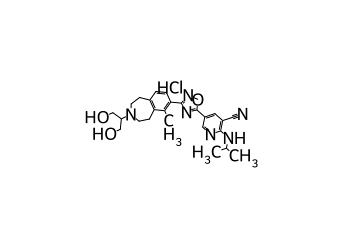 Cc1c(-c2noc(-c3cnc(NC(C)C)c(C#N)c3)n2)ccc2c1CCN(C(CO)CO)CC2.Cl